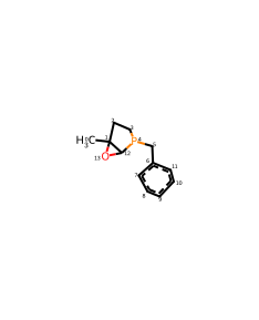 CC12CCP(Cc3ccccc3)C1O2